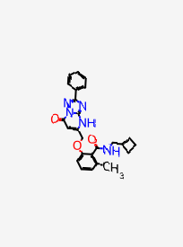 Cc1cccc(OCc2cc(=O)n3nc(-c4ccccc4)nc3[nH]2)c1C(=O)NCC1CCC1